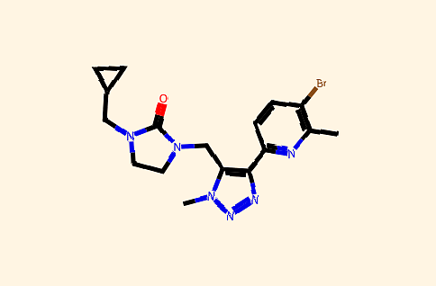 Cc1nc(-c2nnn(C)c2CN2CCN(CC3CC3)C2=O)ccc1Br